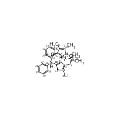 [Li][C]1=C(C[Si](C)(C)C)C(C2=C(C)C(C)=C(C)C2C)=C([SiH](c2ccccc2)c2ccccc2)C1